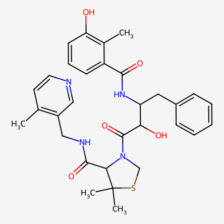 Cc1ccncc1CNC(=O)C1N(C(=O)C(O)C(Cc2ccccc2)NC(=O)c2cccc(O)c2C)CSC1(C)C